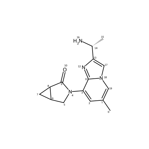 Cc1cc(N2CC3CC3C2=O)c2nc([C@@H](C)N)cn2c1